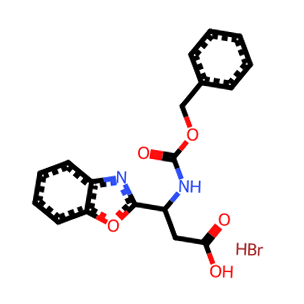 Br.O=C(O)CC(NC(=O)OCc1ccccc1)c1nc2ccccc2o1